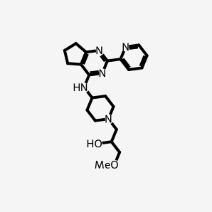 COCC(O)CN1CCC(Nc2nc(-c3ccccn3)nc3c2CCC3)CC1